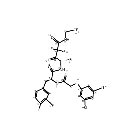 CC(C)[C@H](NC(=O)[C@H](Cc1ccc(F)c(F)c1)NC(=O)COc1cc(Cl)cc(Cl)c1)C(=O)C(F)(F)C(=O)NCC(F)(F)F